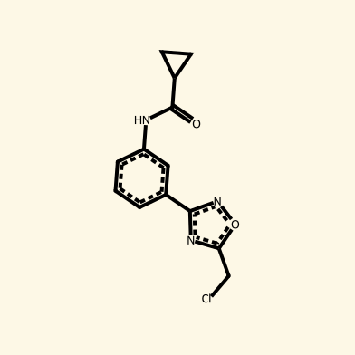 O=C(Nc1cccc(-c2noc(CCl)n2)c1)C1CC1